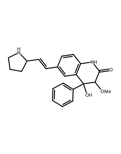 COC1C(=O)Nc2ccc(C=CC3CCCN3)cc2C1(O)c1ccccc1